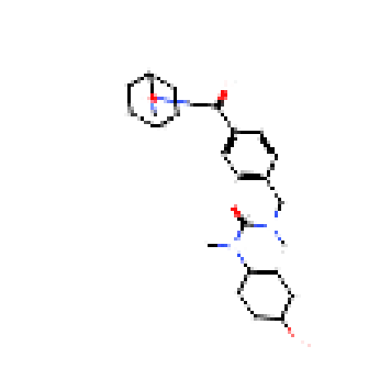 CN(Cc1ccc(C(=O)N2CC3CCC(CC3)C2)cc1)C(=O)N(C)C1CCC(O)CC1